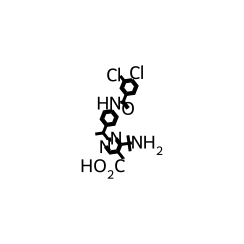 CC(c1ccc(NC(=O)c2ccc(Cl)c(Cl)c2)cc1)c1ncc(CC(=O)O)c(C(C)(C)N)n1